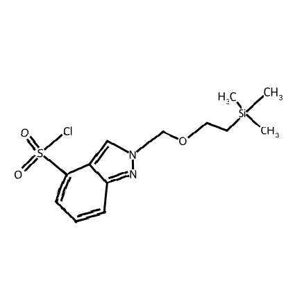 C[Si](C)(C)CCOCn1cc2c(S(=O)(=O)Cl)cccc2n1